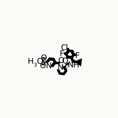 CS(=O)(=O)c1ccc(C(=O)N2CCCC[C@@H]2C(=O)N[C@@H](c2cc(F)c(Cl)cc2F)C2CC2)cn1